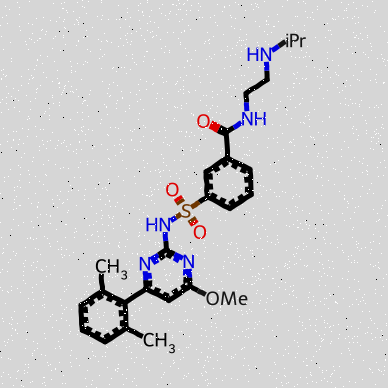 COc1cc(-c2c(C)cccc2C)nc(NS(=O)(=O)c2cccc(C(=O)NCCNC(C)C)c2)n1